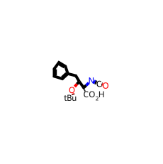 CC(C)(C)OC(Cc1ccccc1)[C@H](N=C=O)C(=O)O